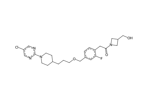 O=C(Cc1ccc(COCCCC2CCN(c3ncc(Cl)cn3)CC2)cc1F)N1CC(CO)C1